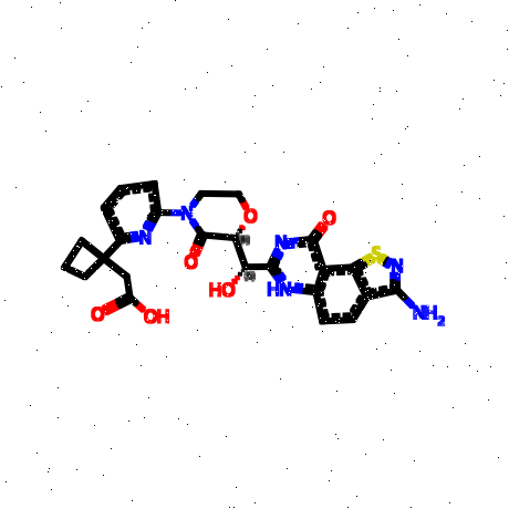 Nc1nsc2c1ccc1[nH]c([C@H](O)[C@H]3OCCN(c4cccc(C5(CC(=O)O)CCC5)n4)C3=O)nc(=O)c12